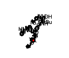 Cc1ncsc1-c1ccc([C@H](C)NC(=O)[C@@H]2C[C@@H](O)CN2C(=O)[C@@H](NC(=O)COC2CCN(C(=O)c3nc(N4CCCc5c4nnc(Nc4nc6ccccc6s4)c5C)ccc3-c3cnn(CC45CC6(OCCN7CCCC7)C[C@](C)(C4)C[C@](C)(C5)C6)c3C)CC2)C(C)(C)C)cc1